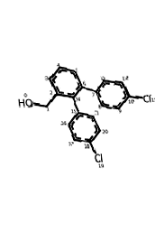 OCc1cccc(-c2ccc(Cl)cc2)c1-c1ccc(Cl)cc1